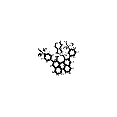 CCCC[N+]1(CCCC)Cc2c(-c3ccc(S(C)(=O)=O)cc3)cc3ccccc3c2-c2c(c(-c3cccc(S(C)(=O)=O)c3)cc3ccccc23)C1